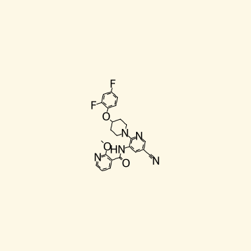 COc1ncccc1C(=O)Nc1cc(C#N)cnc1N1CCC(Oc2ccc(F)cc2F)CC1